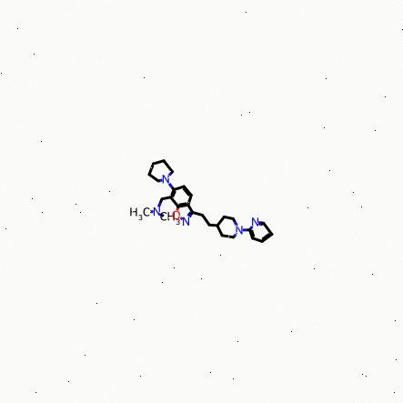 CN(C)Cc1c(N2CCCCC2)ccc2c(CCC3CCN(c4ccccn4)CC3)noc12